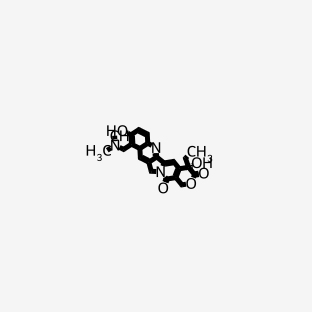 CC[C@@]1(O)C(=O)OCc2c1cc1n(c2=O)CC2=CC3C(CN(C)C)=C(O)C=CC3N=C21